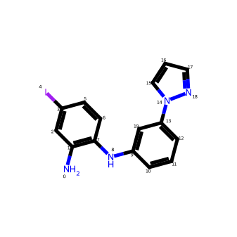 Nc1cc(I)ccc1Nc1cccc(-n2cccn2)c1